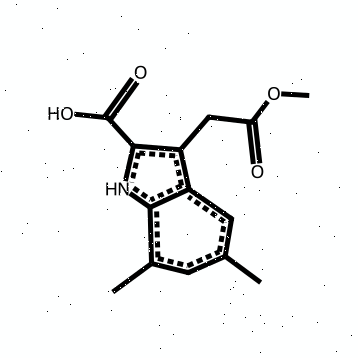 COC(=O)Cc1c(C(=O)O)[nH]c2c(C)cc(C)cc12